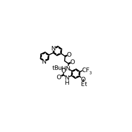 CCOc1cc(NC(=O)OC(C)(C)C)c(NC(=O)CC(=O)c2ccnc(-c3cccnc3)c2)cc1C(F)(F)F